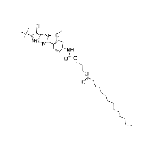 CCCCCCCCCCCCCC(=O)OCCCOC(=O)Nc1ccc(-c2nn3nc(C(C)(C)C)c(Cl)c3[nH]2)c(OC)c1